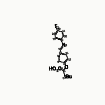 CC(C)(C)C(Oc1ccc(C=Nc2ccc(F)cc2)cc1)C(=O)O